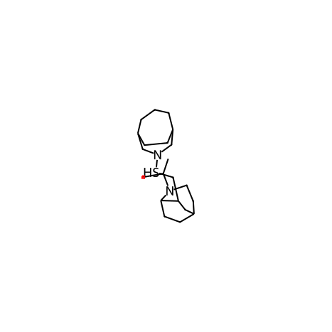 CC(C)N1CCC2CCC1C(C[SH](C)N1CC3CCCC(CC3)C1)C2